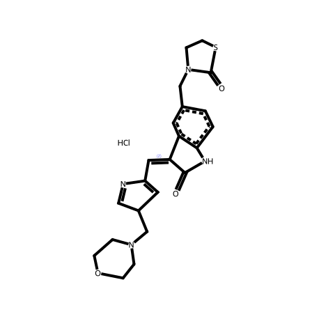 Cl.O=C1Nc2ccc(CN3CCSC3=O)cc2/C1=C/C1=CC(CN2CCOCC2)C=N1